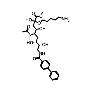 COC(=O)C(O)(CC(O)C(C[C@@H](O)[C@H](O)CNC(=O)c1ccc(-c2ccccc2)cc1)NC(C)=O)OCCCCCN